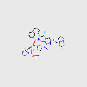 CN(c1nc(OC[C@@]23CCCN2C[C@H](F)C3)nc2c(F)c(-c3cccc4cccc(Cl)c34)ncc12)[C@@H]1CCN(C(=O)C#C[C@]2(C)CCCN2C(=O)OC(C)(C)C)C1